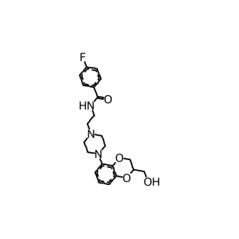 O=C(NCCN1CCN(c2cccc3c2OCC(CO)O3)CC1)c1ccc(F)cc1